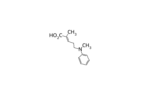 CC(=CCCN(C)c1ccccc1)C(=O)O